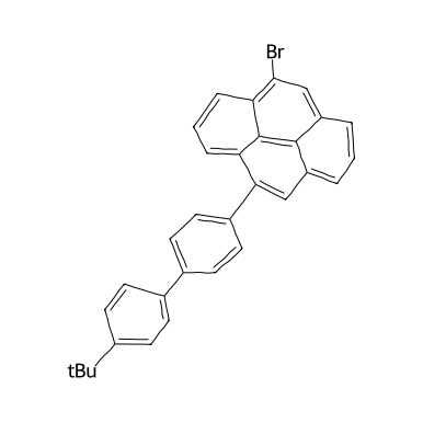 CC(C)(C)c1ccc(-c2ccc(-c3cc4cccc5cc(Br)c6cccc3c6c54)cc2)cc1